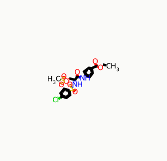 CCOC(=O)c1ccc(NC(=O)C(COS(C)(=O)=O)NS(=O)(=O)c2ccc(Cl)cc2)cc1